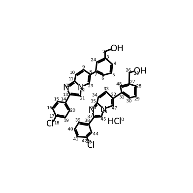 Cl.OCc1cccc(-c2ccc3nc(-c4ccc(Cl)cc4)cn3c2)c1.OCc1cccc(-c2ccc3nc(-c4cccc(Cl)c4)cn3c2)c1